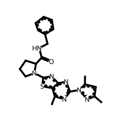 Cc1cc(C)n(-c2nc(C)c3sc(N4CCCC4C(=O)NCc4ccccc4)nc3n2)n1